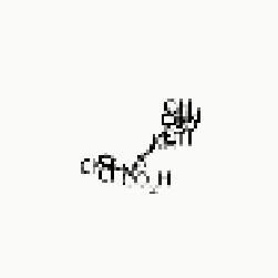 O=C(O)N(CCSCCCNC[C@H](O)c1ccc(O)c2[nH]c(=O)sc12)CCc1cccc(Cl)c1Cl